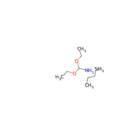 CCC[SiH3].CCOC(N)OCC